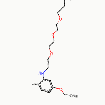 COCCOCCOCCOCCNc1cc(OCOC)ccc1C